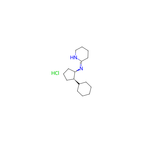 C1CCC([C@H]2CCC[C@H]2N=C2CCCCN2)CC1.Cl